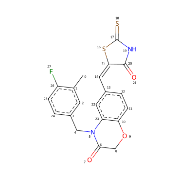 Cc1cc(CN2C(=O)COc3ccc(C=C4SC(=S)NC4=O)cc32)ccc1F